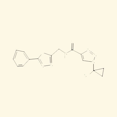 N#CC1(n2cc(C(=O)NCc3nnc(-c4ccccc4)s3)nn2)CC1